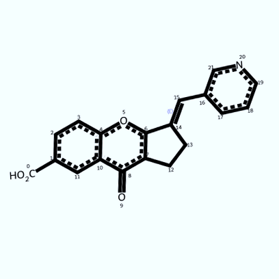 O=C(O)c1ccc2oc3c(c(=O)c2c1)CC/C3=C\c1cccnc1